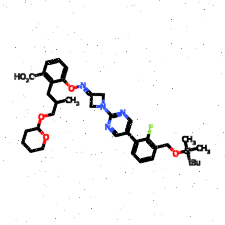 CC(COC1CCCCO1)Cc1c(ON=C2CN(c3ncc(-c4cccc(CO[Si](C)(C)C(C)(C)C)c4F)cn3)C2)cccc1C(=O)O